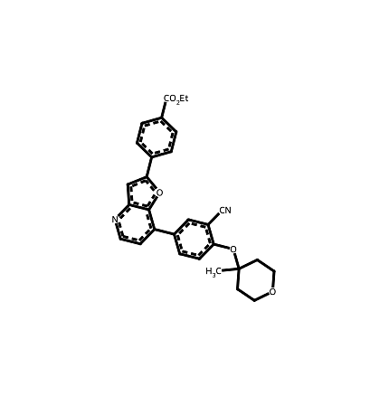 CCOC(=O)c1ccc(-c2cc3nccc(-c4ccc(OC5(C)CCOCC5)c(C#N)c4)c3o2)cc1